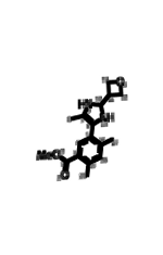 COC(=O)c1cc(C2=C(C)NC(C3COC3)N2)c(C)cc1C